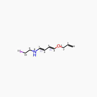 C=CCO/C=C/C=C/NCCI